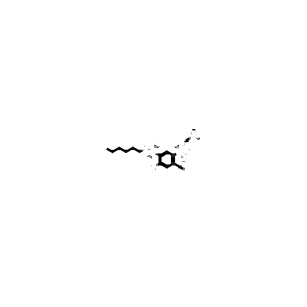 CCCCCCNS(=O)(=O)c1cc(S(=O)(=O)N=CN(C)C)c(C(F)(F)F)cc1N